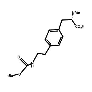 CN[C@@H](Cc1ccc(CCNC(=O)OC(C)(C)C)cc1)C(=O)O